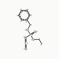 CCOP(=O)(N=C=O)OCc1ccccc1